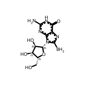 Bc1nc2c(=O)[nH]c(N)nc2n1[C@@H]1O[C@H](CO)[C@@H](O)[C@H]1O